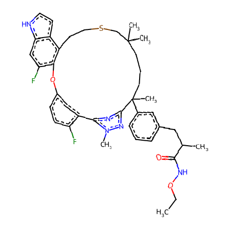 CCONC(=O)C(C)Cc1cccc(C2(C)CCCC(C)(C)CSCCc3c(c(F)cc4[nH]ccc34)Oc3ccc(F)c(c3)-c3nc2nn3C)c1